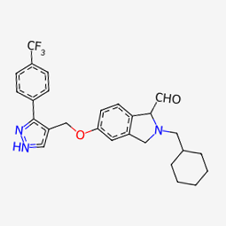 O=CC1c2ccc(OCc3c[nH]nc3-c3ccc(C(F)(F)F)cc3)cc2CN1CC1CCCCC1